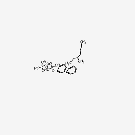 CCCCC(C)CC.O=P(O)(O)O.O=P(O)(O)O.c1ccccc1.c1ccccc1